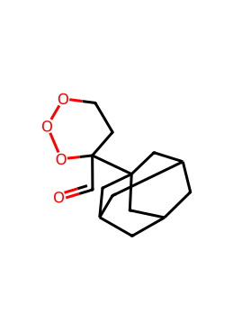 O=CC1(C23CC4CC(CC(C4)C2)C3)CCOOO1